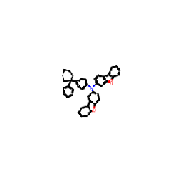 c1ccc(C2(c3ccc(N(c4ccc5c(c4)oc4ccccc45)c4ccc5oc6ccccc6c5c4)cc3)CCCCC2)cc1